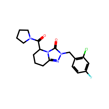 O=C(C1CCCc2nn(Cc3ccc(F)cc3Cl)c(=O)n21)N1CCCC1